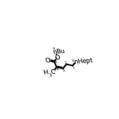 CCCCCCCCCC=C(C)C(=O)OCCCC